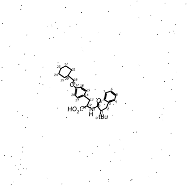 CC(C)(C)[C@H](Cc1ccccc1)C(=O)NC(Cc1ccc(OCC2CCCCC2)cc1)C(=O)O